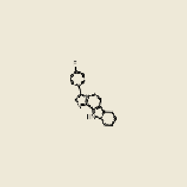 Fc1ccc(-c2cnc3c4[nH]c5ccccc5c4ccn23)cc1